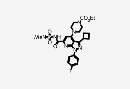 CCOC(=O)N1CCN(c2cc(C(=O)NS(=O)(=O)NC)nc3c2c(C2CCC2)nn3-c2ccc(F)cc2)CC1